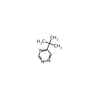 CC(C)(C)c1[c]nncn1